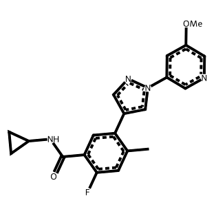 COc1cncc(-n2cc(-c3cc(C(=O)NC4CC4)c(F)cc3C)cn2)c1